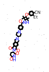 CCc1cc(O[C@H]2C(C)(C)[C@H](NC(=O)c3ccc(N4CCC(N5Cc6cc7c(cc6C5)C(=O)N(C5CCC(=O)NC5=O)C7=O)CC4)cc3)C2(C)C)ccc1C#N